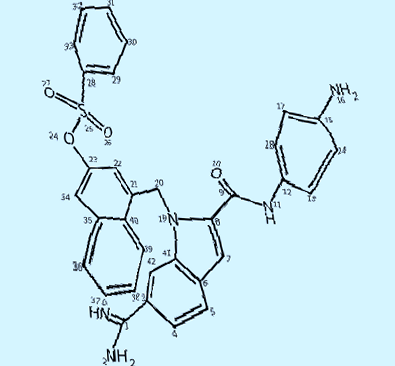 N=C(N)c1ccc2cc(C(=O)Nc3ccc(N)cc3)n(Cc3cc(OS(=O)(=O)c4ccccc4)cc4ccccc34)c2c1